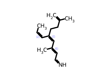 C=C(C)CCC(/C=C\C)=C/C(C)=C/C=N